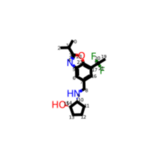 CC(C)c1nc2cc(CN[C@@H]3CCC[C@@H]3O)cc(C(C)(F)F)c2o1